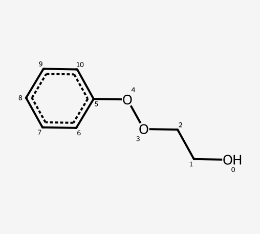 OCCOOc1ccccc1